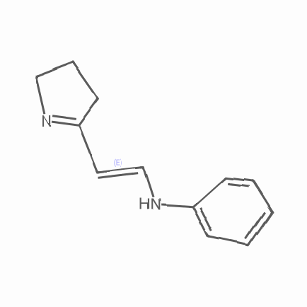 C(=C\C1=NCCC1)/Nc1ccccc1